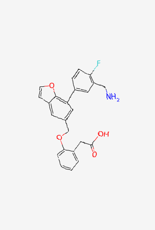 NCc1cc(-c2cc(COc3ccccc3CC(=O)O)cc3ccoc23)ccc1F